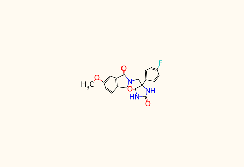 COc1ccc2c(c1)C(=O)N(CC1(c3ccc(F)cc3)NC(=O)NC1=O)C2